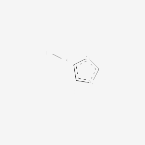 CCO.Cl.c1c[nH]cn1